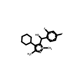 Cc1nn(C)c(C(O)c2ccc(F)cc2F)c1C1CCCCC1